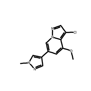 COc1cc(-c2cnn(C)c2)cn2ncc(Cl)c12